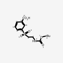 CC(C)(C)OC(=O)NCCS(=O)(=O)c1cccc(C(=O)O)c1